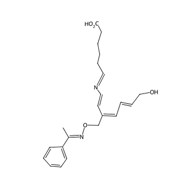 C/C(=N\OCC(/C=C/N=C/CCCCC(=O)O)=C/C=C/CO)c1ccccc1